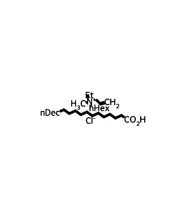 C=CC[N+](C)(CC)CCCCCC.CCCCCCCCCCCCCCCCCCCCCC(=O)O.[Cl-]